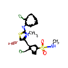 Br.CNS(=O)(=O)c1ccc(Cl)c(-c2cs/c(=N/c3ccccc3Cl)n2C)c1